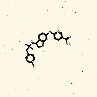 CC(C)(Cc1ccc(F)cc1)NC1CCc2cc(Oc3ccc(C(N)=O)cn3)ccc21